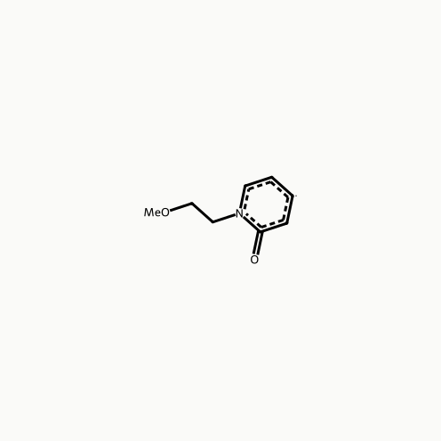 COCCn1cc[c]cc1=O